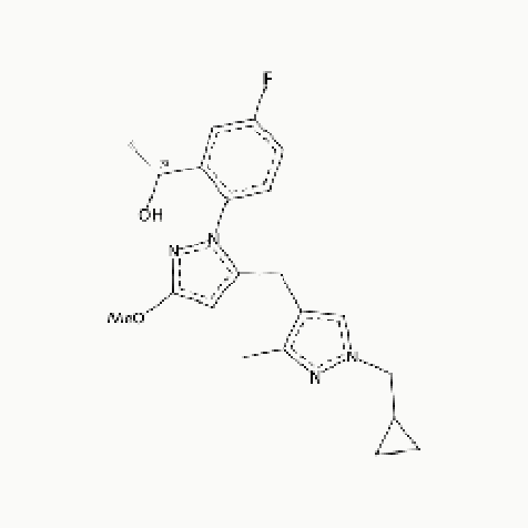 COc1cc(Cc2cn(CC3CC3)nc2C)n(-c2ccc(F)cc2[C@@H](C)O)n1